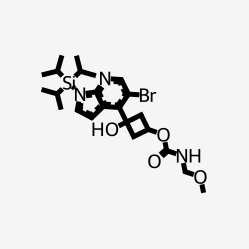 COCNC(=O)OC1CC(O)(c2c(Br)cnc3c2ccn3[Si](C(C)C)(C(C)C)C(C)C)C1